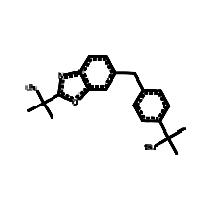 CC(C)(C)C(C)(C)c1ccc(Cc2ccc3nc(C(C)(C)C(C)(C)C)oc3c2)cc1